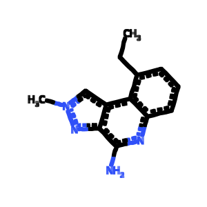 CCc1cccc2nc(N)c3nn(C)cc3c12